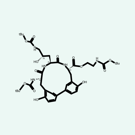 CC(C)(C)OC(=O)NCCOC(=O)[C@@H]1Cc2cc(ccc2O)-c2ccc(O)c(c2)C[C@H](NC(=O)OC(C)(C)C)C(=O)N[C@@H](C[C@H](O)CNC(=O)OC(C)(C)C)C(=O)N1